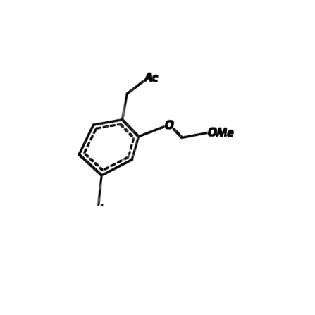 [CH2]c1ccc(CC(C)=O)c(OCOC)c1